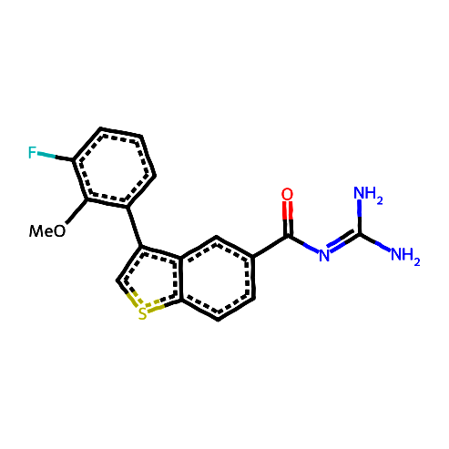 COc1c(F)cccc1-c1csc2ccc(C(=O)N=C(N)N)cc12